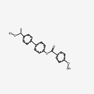 CCCOc1ccc(C(=O)Oc2ccc(-c3ccc(C(C)OCC)cc3)cc2)cc1